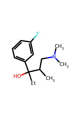 CCC(O)(c1cccc(F)c1)C(C)CN(C)C